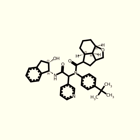 CC(C)(C)c1ccc(N(C(=O)C2CC3CO[C@@H]4CCC[C@H]2[C@H]34)C(C(=O)N[C@@H]2c3ccccc3C[C@@H]2O)c2cccnc2)cc1